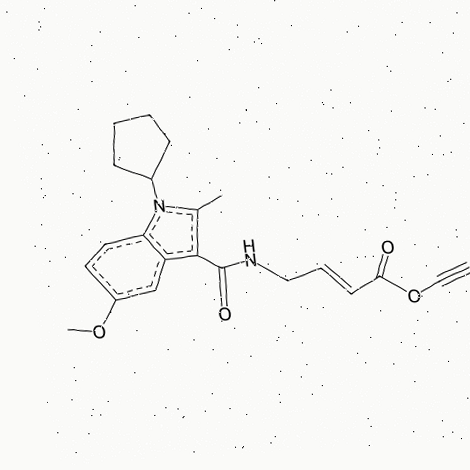 C#COC(=O)/C=C/CNC(=O)c1c(C)n(C2CCCC2)c2ccc(OC)cc12